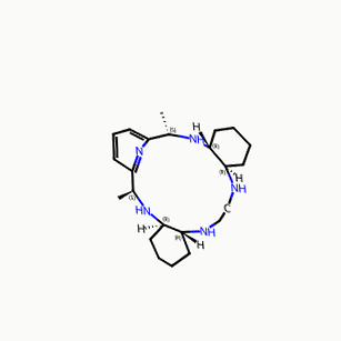 C[C@@H]1N[C@@H]2CCCC[C@H]2NCCN[C@@H]2CCCC[C@H]2N[C@@H](C)c2cccc1n2